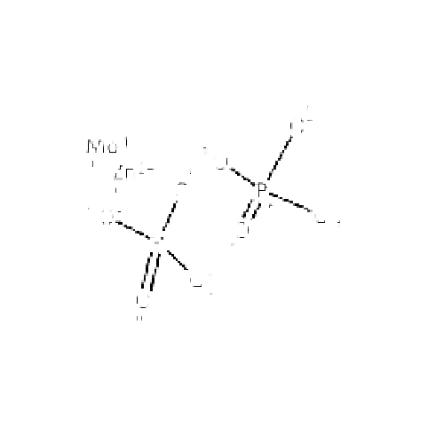 O=P([O-])([O-])[O-].O=P([O-])([O-])[O-].[Mo+4].[Zn+2]